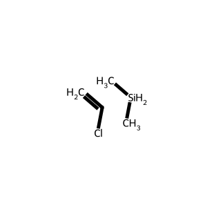 C=CCl.C[SiH2]C